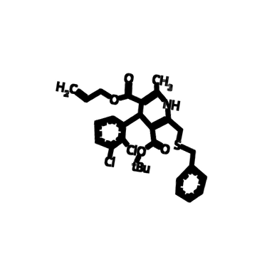 C=CCOC(=O)C1=C(C)NC(CSCc2ccccc2)=C(C(=O)OC(C)(C)C)C1c1cccc(Cl)c1Cl